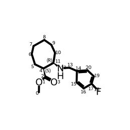 COC(=O)[C@H]1CCCCCC[C@H]1NCc1ccc(F)cc1